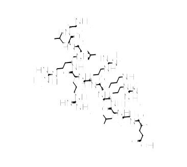 CC(C)C[C@H](NC[C@H](CCCNC(=N)N)NC(=O)[C@H](CCCNC(=N)N)NC(=O)[C@H](CCCNC(=N)N)NC(=O)[C@H](CCCCN)NC(=O)[C@H](CCCNC(=N)N)NC(=O)[C@H](CC(C)C)NC(=O)CNC(=O)[C@@H](C)CCC(=O)O)C(=O)N[C@@H](CC(C)C)C(=O)N[C@@H](C)C(N)=O